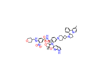 Cc1ccnc(-c2ccccc2[C@@H]2CCCN2C2CC3(CCN(c4ccc(C(=O)NS(=O)(=O)c5ccc(NCC6CCOCC6)c([N+](=O)[O-])c5)c(N5c6cc7cc[nH]c7nc6O[C@@H]6COC[C@H]65)c4)CC3)C2)c1